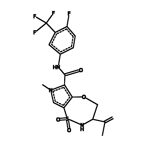 C=C(C)C1COc2c(cn(C)c2C(=O)Nc2ccc(F)c(C(F)(F)F)c2)S(=O)(=O)N1